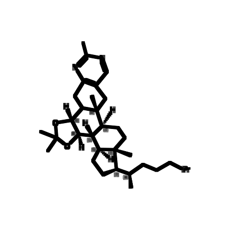 Cc1ncc2c(n1)CC1[C@H]3OC(C)(C)O[C@@H]3[C@H]3[C@@H]4CC[C@H]([C@H](C)CCCC(C)C)[C@@]4(C)CC[C@@H]3[C@@]1(C)C2